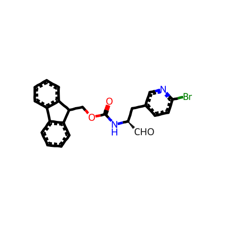 O=C[C@H](Cc1ccc(Br)nc1)NC(=O)OCC1c2ccccc2-c2ccccc21